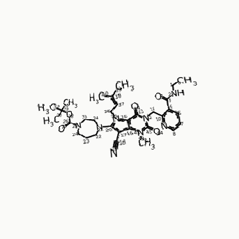 CCNC(=O)c1cccnc1Cn1c(=O)c2c(c(C#N)c(N3CCCN(C(=O)OC(C)(C)C)CC3)n2CC=C(C)C)n(C)c1=O